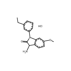 CCc1cccc(N2C(=O)C(N)c3ccc(OC)cc32)c1.Cl